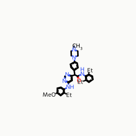 CCc1cc(OC)ccc1Nc1cc(C(C(=O)Nc2c(CC)cccc2CC)c2ccc(N3CCN(C)CC3)cc2)ncn1